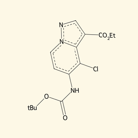 CCOC(=O)c1cnn2ccc(NC(=O)OC(C)(C)C)c(Cl)c12